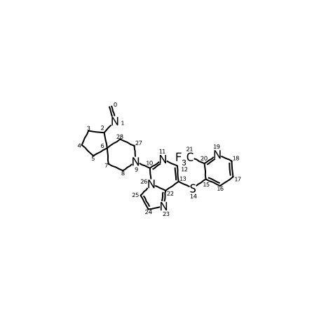 C=NC1CCCC12CCN(c1ncc(Sc3cccnc3C(F)(F)F)c3nccn13)CC2